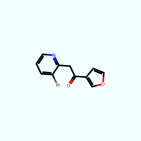 O=C(Cc1ncccc1Br)c1ccoc1